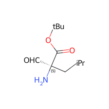 CC(C)C[C@](N)(C=O)C(=O)OC(C)(C)C